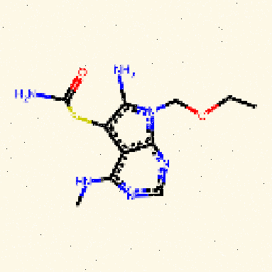 CCOCn1c(N)c(SC(N)=O)c2c(NC)ncnc21